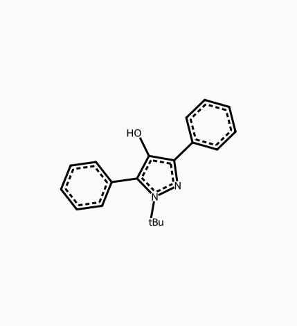 CC(C)(C)n1nc(-c2ccccc2)c(O)c1-c1ccccc1